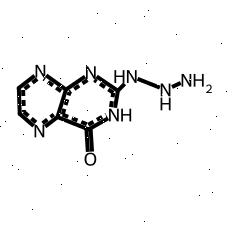 NNNc1nc2nccnc2c(=O)[nH]1